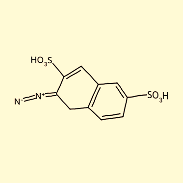 [N-]=[N+]=C1Cc2ccc(S(=O)(=O)O)cc2C=C1S(=O)(=O)O